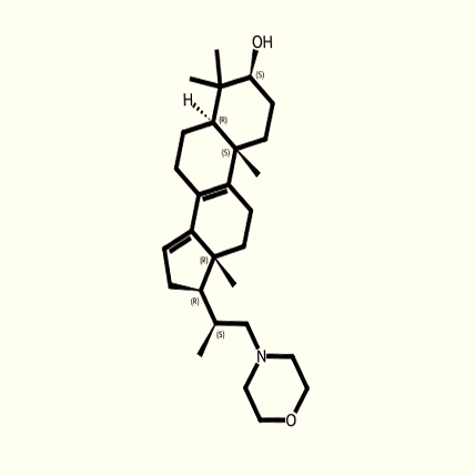 C[C@H](CN1CCOCC1)[C@H]1CC=C2C3=C(CC[C@@]21C)[C@@]1(C)CC[C@H](O)C(C)(C)[C@@H]1CC3